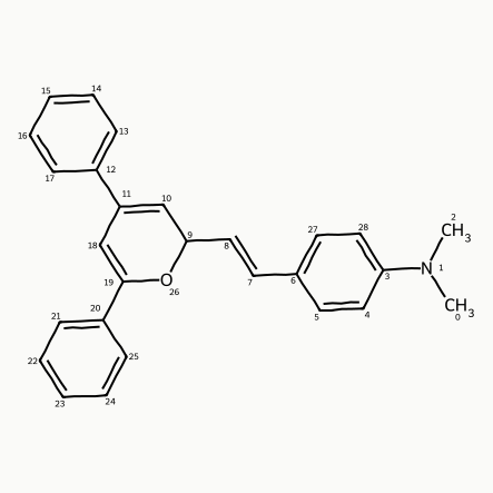 CN(C)c1ccc(C=CC2C=C(c3ccccc3)C=C(c3ccccc3)O2)cc1